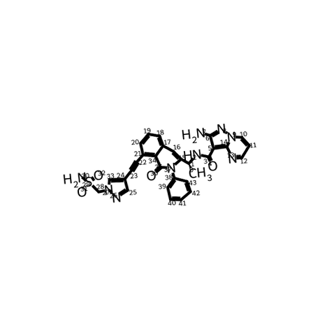 C[C@H](NC(=O)c1c(N)nn2cccnc12)c1cc2cccc(C#Cc3cnn(CS(N)(=O)=O)c3)c2c(=O)n1-c1ccccc1